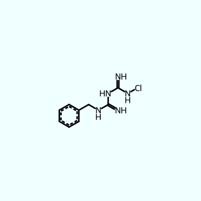 N=C(NCl)NC(=N)NCc1ccccc1